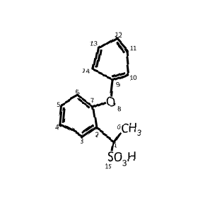 CC(c1ccccc1Oc1ccccc1)S(=O)(=O)O